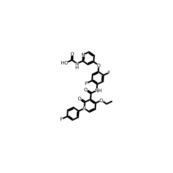 CCOc1ccn(-c2ccc(F)cc2)c(=O)c1C(=O)Nc1cc(F)c(Oc2ccnc(NC(=O)O)c2)cc1F